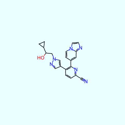 N#Cc1ccc(-c2cnn(CC(O)C3CC3)c2)c(-c2ccn3ccnc3c2)n1